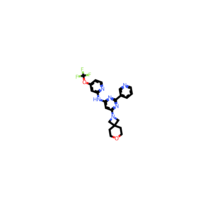 FC(F)(F)Oc1ccnc(Nc2cc(N3CC4(CCOCC4)C3)nc(-c3cccnc3)n2)c1